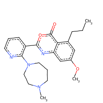 CCCc1cc(OC)cc2nc(-c3cccnc3N3CCCN(C)CC3)oc(=O)c12